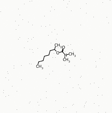 CCCCCCC(C)OC(=O)N(C)C